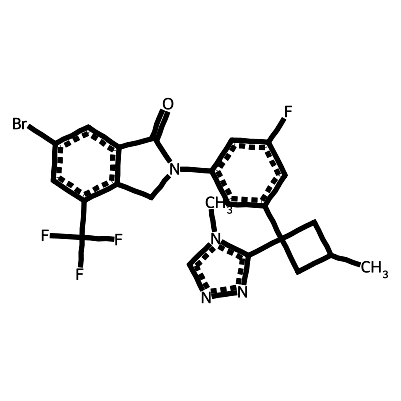 CC1CC(c2cc(F)cc(N3Cc4c(cc(Br)cc4C(F)(F)F)C3=O)c2)(c2nncn2C)C1